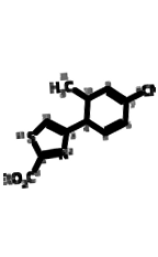 CCOC(=O)c1nc(C2C=CC(C#N)=CC2C)cs1